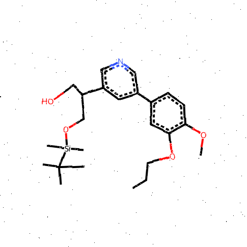 CCCOc1cc(-c2cncc(C(CO)CO[Si](C)(C)C(C)(C)C)c2)ccc1OC